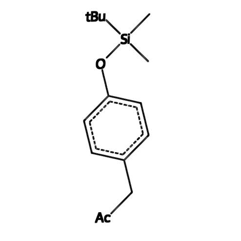 CC(=O)Cc1ccc(O[Si](C)(C)C(C)(C)C)cc1